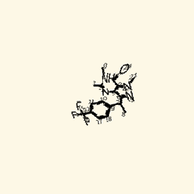 CN/C(C)=N\c1c(C(C)c2ccc(C(F)(F)F)cc2)nn(C)c1C=O